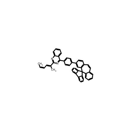 C/C=C\C=C(/C)c1nc(-c2ccc(-c3ccc4c(c3)C3(c5ccccc5C=C4)c4ccccc4-c4ccccc43)cc2)c2ccccc2n1